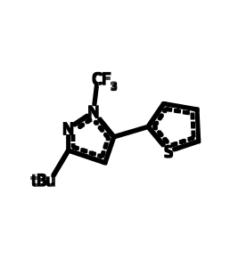 CC(C)(C)c1cc(-c2cccs2)n(C(F)(F)F)n1